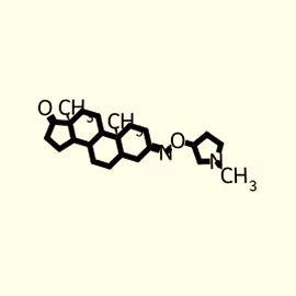 CN1CCC(O/N=C2\CC[C@@]3(C)C(CCC4C3CC[C@]3(C)C(=O)CCC43)C2)C1